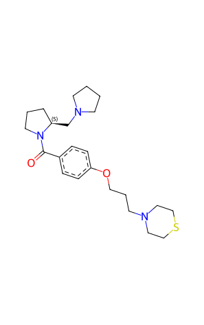 O=C(c1ccc(OCCCN2CCSCC2)cc1)N1CCC[C@H]1CN1CCCC1